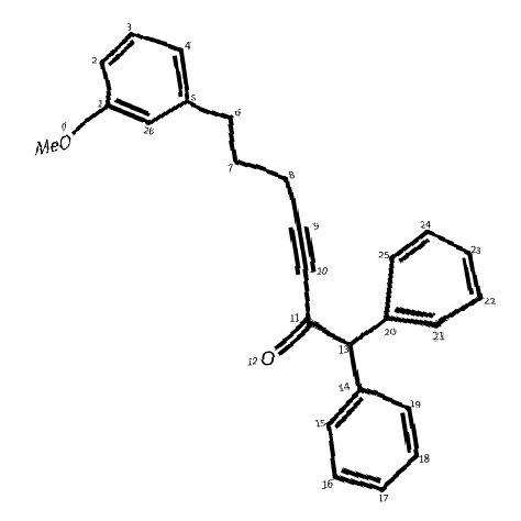 COc1cccc(CCCC#CC(=O)C(c2ccccc2)c2ccccc2)c1